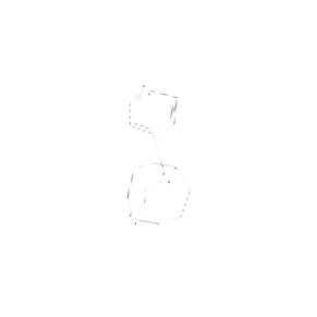 c1cc(N2CCN3CCCC2CCC3)ccn1